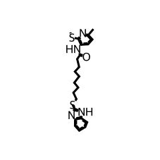 CSc1nc(C)ccc1NC(=O)CCCCCCCCSc1nc2ccccc2[nH]1